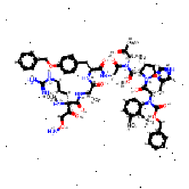 CC[C@H](C)[C@H](NC(=O)[C@H](Cc1ccc(OCc2ccccc2)cc1)NC(=O)[C@@H](NC(=O)[C@](CCCNC(=N)N)(N[N+](=O)[O-])C(=O)CON)C(C)C)C(=O)N(C(=O)[C@@H]1CCCN1C(=O)[C@H](Cc1c[nH]cn1)N(C(=O)OCc1ccccc1)c1cccc([N+](=O)[O-])c1[N+](=O)[O-])[C@H](C(=O)OC)[C@@H](C)CC